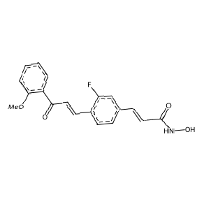 COc1ccccc1C(=O)/C=C/c1ccc(/C=C/C(=O)NO)cc1F